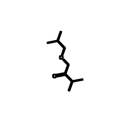 CC(C)COCC(=O)C(C)C